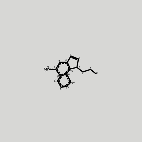 CCCC1C=Cc2cc(Br)c3ccccc3c21